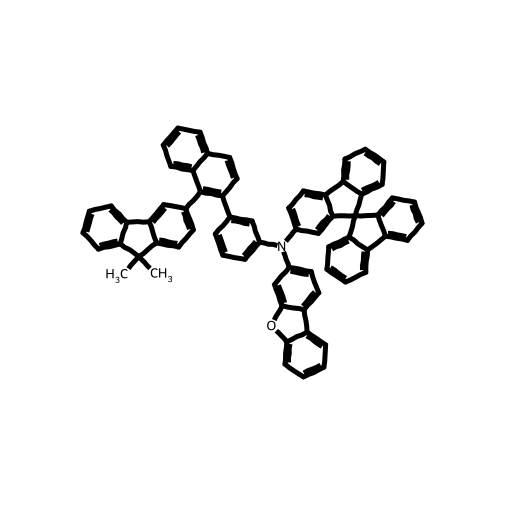 CC1(C)c2ccccc2-c2cc(-c3c(-c4cccc(N(c5ccc6c(c5)C5(c7ccccc7-c7ccccc75)c5ccccc5-6)c5ccc6c(c5)oc5ccccc56)c4)ccc4ccccc34)ccc21